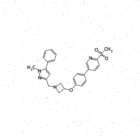 Cn1nc(CN2CC(Oc3ccc(-c4ccc(S(C)(=O)=O)nc4)cc3)C2)cc1-c1ccccc1